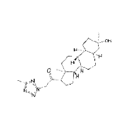 Cc1nnn(CC(=O)[C@H]2CC[C@H]3[C@@H]4CC[C@@H]5C[C@](C)(O)CC[C@@H]5[C@H]4CC[C@]23C)n1